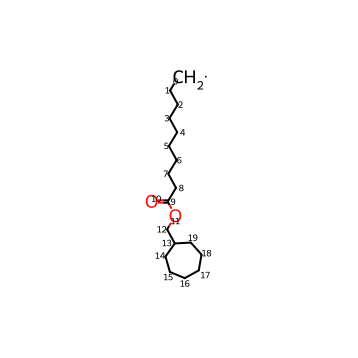 [CH2]CCCCCCCCC(=O)OCC1CCCCCC1